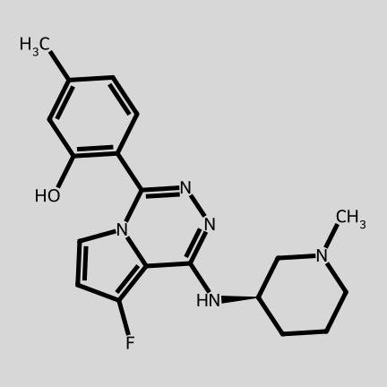 Cc1ccc(-c2nnc(N[C@@H]3CCCN(C)C3)c3c(F)ccn23)c(O)c1